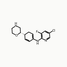 Fc1cc(Cl)cnc1NC1=CCC([C@H]2CNCCO2)C=C1